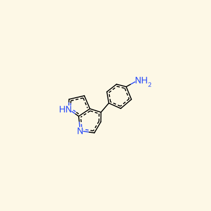 Nc1ccc(-c2ccnc3[nH]ccc23)cc1